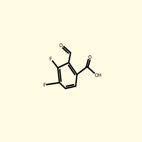 O=Cc1c(C(=O)O)ccc(F)c1F